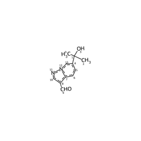 CC(C)(O)c1ccc2c(C=O)cnn2c1